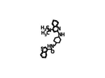 CN(C)c1cc(NC2CCC(CNC(=O)c3csc4ccccc34)CC2)nc2ccccc12